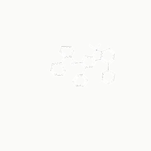 CC1(C)c2cc(Nc3ccccc3-c3ccccc3)c(-c3ccccc3)cc2-c2c(-c3ccccc3)cccc21